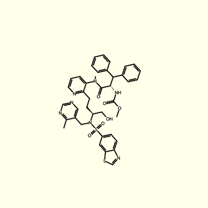 COC(=O)N[C@H](C(=O)N(C)c1cccnc1CC[C@@H](CO)N(Cc1cncnc1C)S(=O)(=O)c1ccc2ncsc2c1)C(c1ccccc1)c1ccccc1